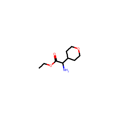 CCOC(=O)C(N)C1CCOCC1